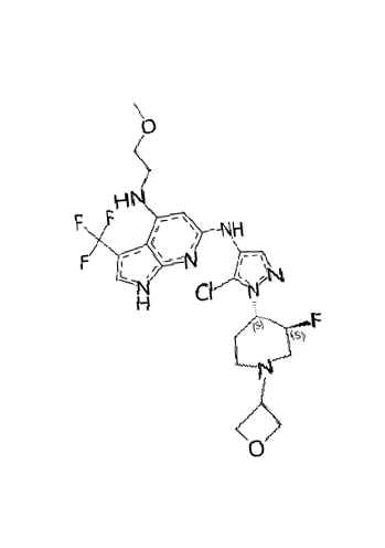 COCCNc1cc(Nc2cnn([C@H]3CCN(C4COC4)C[C@@H]3F)c2Cl)nc2[nH]cc(C(F)(F)F)c12